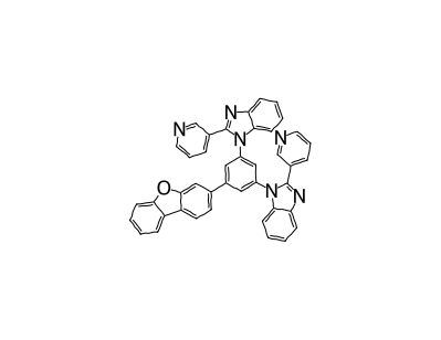 c1cncc(-c2nc3ccccc3n2-c2cc(-c3ccc4c(c3)oc3ccccc34)cc(-n3c(-c4cccnc4)nc4ccccc43)c2)c1